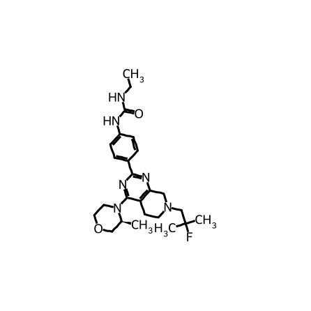 CCNC(=O)Nc1ccc(-c2nc3c(c(N4CCOC[C@@H]4C)n2)CCN(CC(C)(C)F)C3)cc1